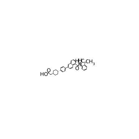 CC(C)c1ccccc1NC(=O)c1cccc2cc(-c3ccc([C@H]4CC[C@H](CC(=O)O)CC4)cc3)ccc12